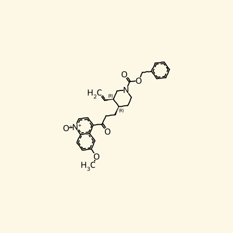 C=C[C@H]1CN(C(=O)OCc2ccccc2)CC[C@H]1CCC(=O)c1cc[n+]([O-])c2ccc(OC)cc12